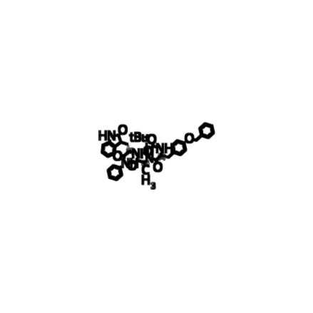 C[C@H](NC(=O)[C@H](Cc1ccc(OCc2ccccc2)cc1)NC(=O)OC(C)(C)C)C(=O)N[C@@H](CC1C(=O)Nc2ccccc21)C(=O)Nc1ccccc1